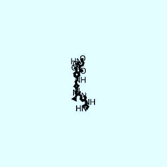 O=C1CCC(N2C(=O)c3ccc(NC=C4CC(n5cc(-c6ccc(NC7CCNC7)cn6)c(C6CC6)n5)C4)cc3C2=O)C(=O)N1